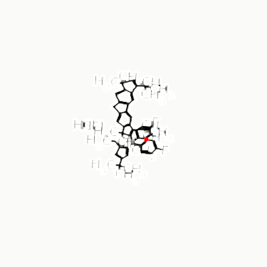 Cl.Cl.[CH2]=[Zr]([C]1=CC(C(C)(C)C)=CC1CC)([C]1=C(C(C)(C)C)c2cc3c(cc2C1(C)C)Cc1cc2c(cc1-3)C(C(C)(C)C)=CC2(C)C)([c]1ccc(F)cc1)[c]1ccc(F)cc1